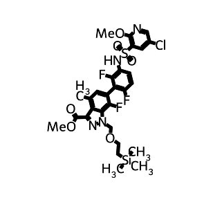 COC(=O)c1nn(COCC[Si](C)(C)C)c2c(F)c(-c3c(F)ccc(NS(=O)(=O)c4cc(Cl)cnc4OC)c3F)cc(C)c12